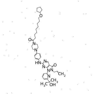 C=CCn1c(=O)c2cnc(Nc3ccc(N4CCN(C(=O)CCCCCCCCOC5CCCC5)CC4)cc3)nc2n1-c1cccc(C(C)(C)O)n1